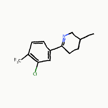 CC1CCC(c2ccc(C(F)(F)F)c(Cl)c2)=NC1